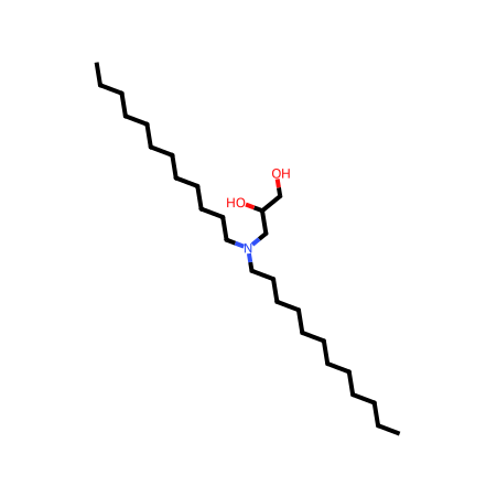 CCCCCCCCCCCCN(CCCCCCCCCCCC)CC(O)CO